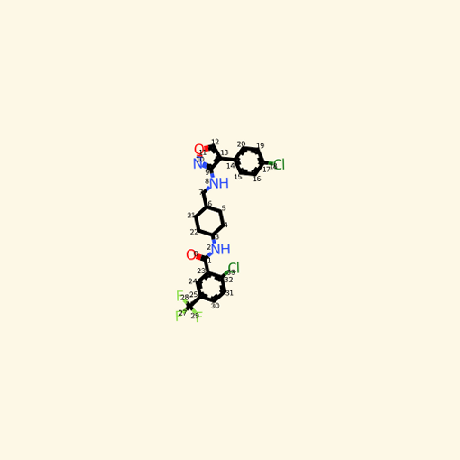 O=C(NC1CCC(CNc2nocc2-c2ccc(Cl)cc2)CC1)c1cc(C(F)(F)F)ccc1Cl